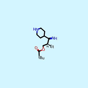 CC[C@@H](COC(=O)C(C)(C)C)C(=N)C1CCNCC1